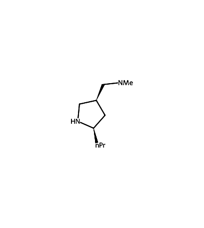 CCC[C@@H]1C[C@H](CNC)CN1